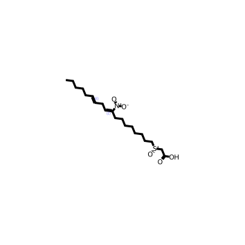 CCCCC/C=C/C/C=C(/CCCCCCCC[S+]([O-])CC(=O)O)[N+](=O)[O-]